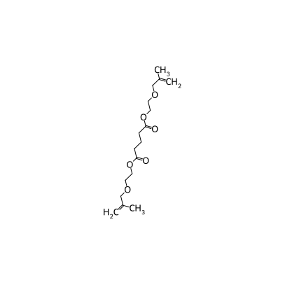 C=C(C)COCCOC(=O)CCCC(=O)OCCOCC(=C)C